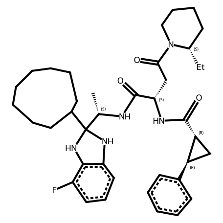 CC[C@H]1CCCCN1C(=O)C[C@H](NC(=O)[C@@H]1C[C@H]1c1ccccc1)C(=O)N[C@@H](C)C1(C2CCCCCCCC2)Nc2cccc(F)c2N1